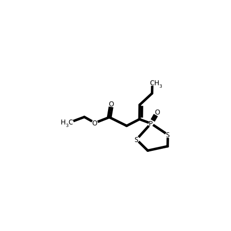 CC/C=C(/CC(=O)OCC)P1(=O)SCCS1